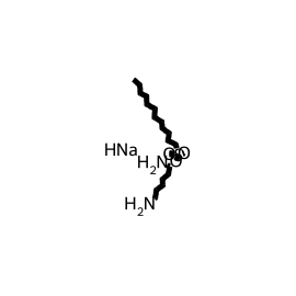 CCCCCCCCCCCCS(=O)(=O)OC(N)CCCCCN.[NaH]